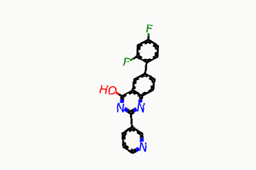 Oc1nc(-c2cccnc2)nc2ccc(-c3ccc(F)cc3F)cc12